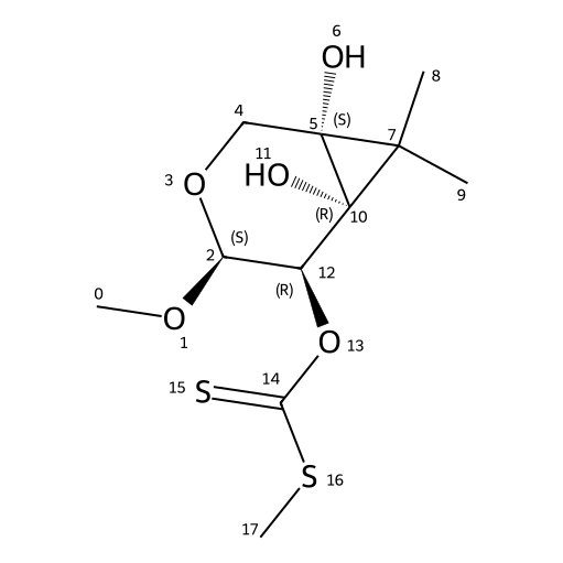 CO[C@H]1OC[C@@]2(O)C(C)(C)[C@@]2(O)[C@H]1OC(=S)SC